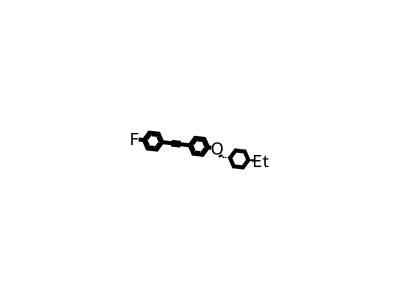 CC[C@H]1CC[C@H](COc2ccc(C#Cc3ccc(F)cc3)cc2)CC1